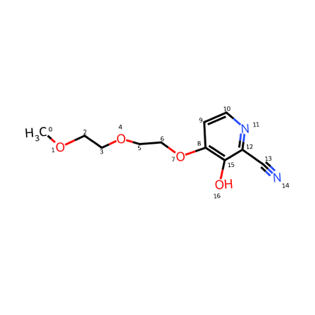 COCCOCCOc1ccnc(C#N)c1O